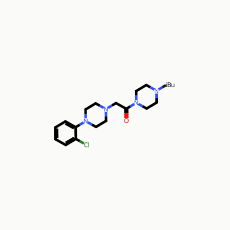 CCC(C)N1CCN(C(=O)CN2CCN(c3ccccc3Cl)CC2)CC1